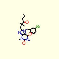 CCCC(=O)C(C)(C)Cc1nc2c(c(=O)n(C)c(=O)n2C)n1Cc1cccc(Br)c1